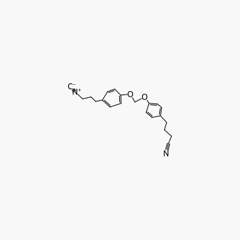 [C-]#[N+]CCCc1ccc(OCOc2ccc(CCCC#N)cc2)cc1